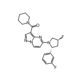 O=C(c1cnn2ccc(N3C[C@@H](F)C[C@@H]3c3cccc(F)c3)nc12)N1CCCCC1